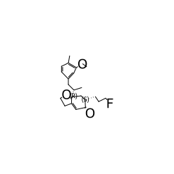 COc1cc(CC(C)[C@]23C[C@H](CCCF)C(=O)C=C2CCO3)ccc1C